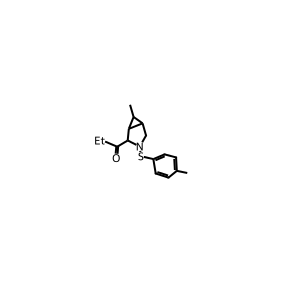 CCC(=O)C1C2C(C)C2CN1Sc1ccc(C)cc1